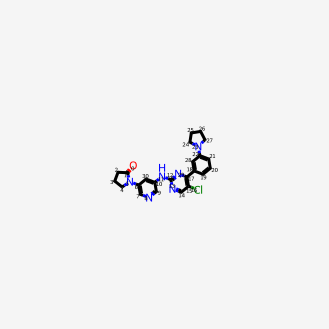 O=C1CCCN1c1cncc(Nc2ncc(Cl)c(-c3cccc(N4CCCC4)c3)n2)c1